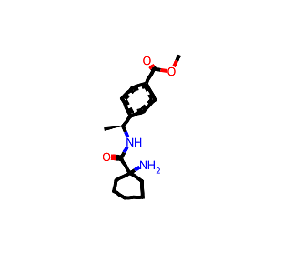 COC(=O)c1ccc([C@H](C)NC(=O)C2(N)CCCCC2)cc1